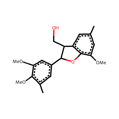 COc1cc(C2Oc3c(OC)cc(C)cc3C2CO)cc(C)c1OC